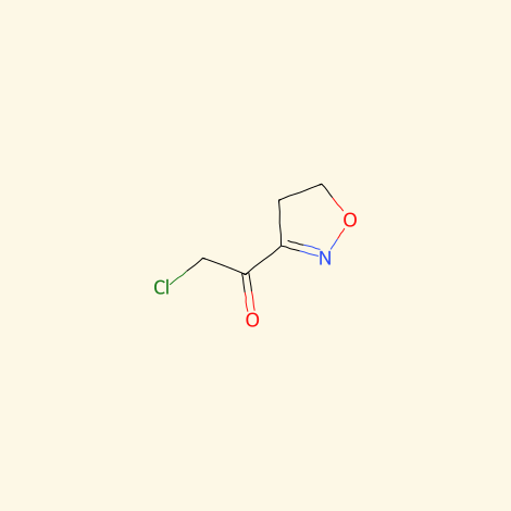 O=C(CCl)C1=NOCC1